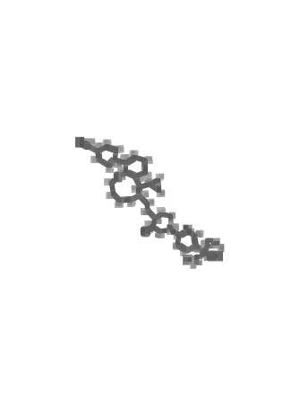 CC(C)(O)c1ccc(N2CCC(CCC3=C(\C4CC4)c4cccc(-c5ccc(C#N)cc5)c4CCC/C=C\3)C(=O)C2)nc1